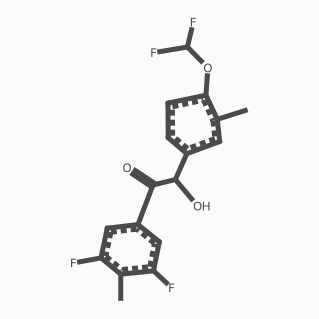 Cc1cc(C(O)C(=O)c2cc(F)c(C)c(F)c2)ccc1OC(F)F